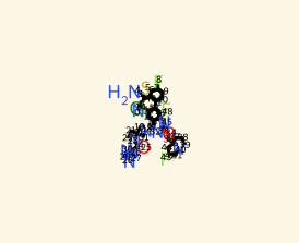 N#Cc1c(N)sc2c(F)ccc(-c3c(Cl)cc4c(N5CC6(CCN6C(=O)n6cncn6)C5)nc(OC[C@@]56CCCN5C[C@H](F)C6)nc4c3F)c12